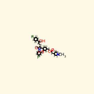 C[n+]1ccc(CC(=O)OCc2ccc([C@@H]3[C@@H](CC[C@H](O)c4ccc(F)cc4)C(=O)N3c3ccc(F)cc3)c(O)c2)cc1